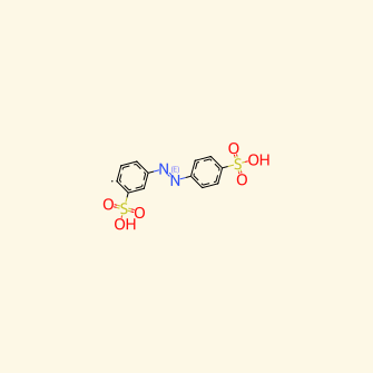 O=S(=O)(O)c1[c]ccc(/N=N/c2ccc(S(=O)(=O)O)cc2)c1